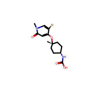 Cn1cc(Br)c(O[C@]2(C)CC[C@@H](NC(=O)O)CC2)cc1=O